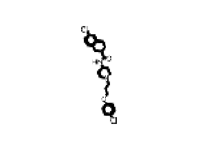 O=C(NC1CCN(CCCOc2ccc(Cl)cc2)CC1)C1CCc2cc(Cl)ccc2C1